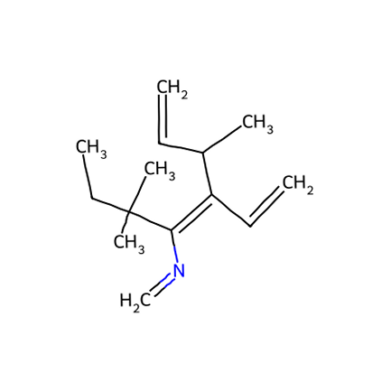 C=C/C(=C(\N=C)C(C)(C)CC)C(C)C=C